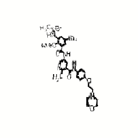 COc1c(N[S+](C)[O-])cc(C(C)(C)C)cc1C(=O)Nc1cnc(C)c(C(=O)Nc2ccc(OCCN3CCOCC3)cc2)c1